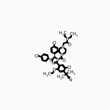 CCOc1cc(C(C)(C)C#N)c(Cl)cc1C1=N[C@@H](c2ccc(Cl)cc2)[C@@H](c2ccc(Cl)cc2)N1C(=O)N1CCN(CC(=O)N(CC)CC)CC1